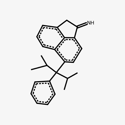 CC(C)C(c1ccccc1)(c1ccc2c3c(cccc13)CC2=N)C(C)C